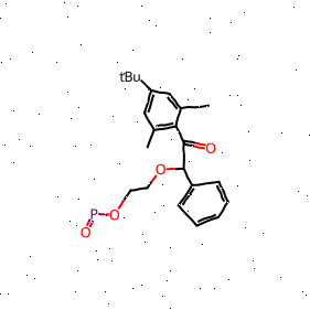 Cc1cc(C(C)(C)C)cc(C)c1C(=O)C(OCCOP=O)c1ccccc1